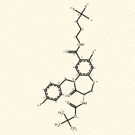 CC(C)(C)OC(=O)N[C@H]1CSc2cc(F)c(C(=O)NCCCC(F)(F)F)cc2N(Cc2ccc(F)cc2)C1=O